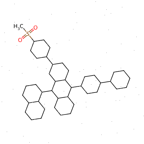 CS(=O)(=O)C1CCC(C2CCC3C(C2)C(C2CCCC4CCCCC42)C2CCCCC2C3C2CCC(C3CCCCC3)CC2)CC1